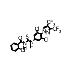 O=C(NC(=S)Nc1cc(Cl)c(-n2cc(C(F)(F)F)c(C(F)(F)F)n2)c(Cl)c1)c1ccccc1Cl